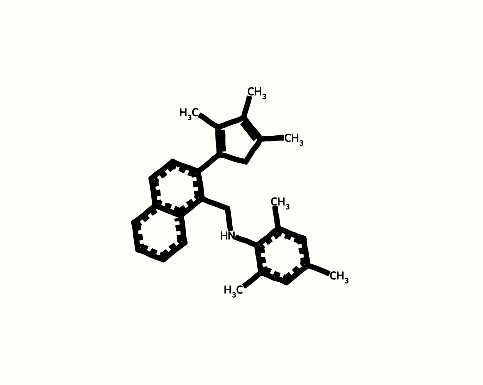 CC1=C(C)C(C)=C(c2ccc3ccccc3c2CNc2c(C)cc(C)cc2C)C1